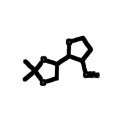 COC1CCOC1C1COC(C)(C)O1